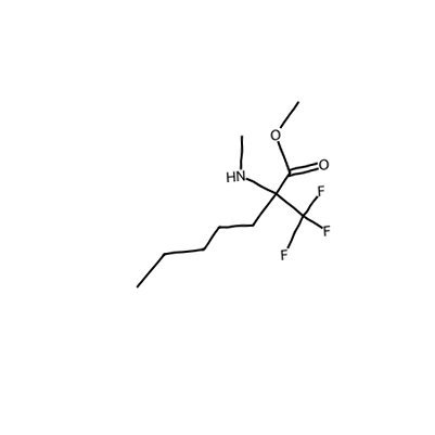 CCCCCC(NC)(C(=O)OC)C(F)(F)F